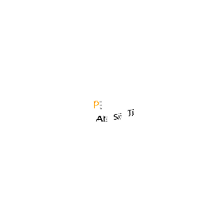 [Al].[P].[Si].[Ti]